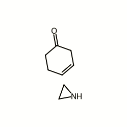 C1CN1.O=C1CC=CCC1